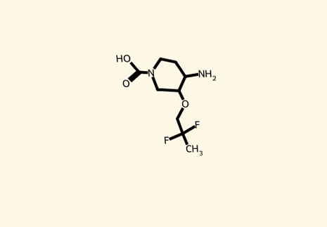 CC(F)(F)COC1CN(C(=O)O)CCC1N